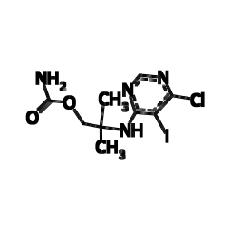 CC(C)(COC(N)=O)Nc1ncnc(Cl)c1I